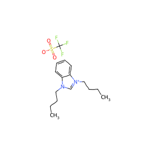 CCCCn1c[n+](CCCC)c2ccccc21.O=S(=O)([O-])C(F)(F)F